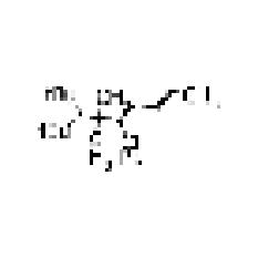 CC=CCC(Cl)C(C)(C)P(C(C)(C)C)C(C)(C)C.[Pd]